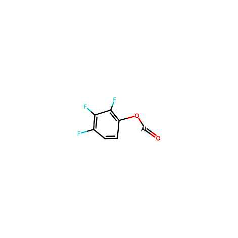 [O]=[Al][O]c1ccc(F)c(F)c1F